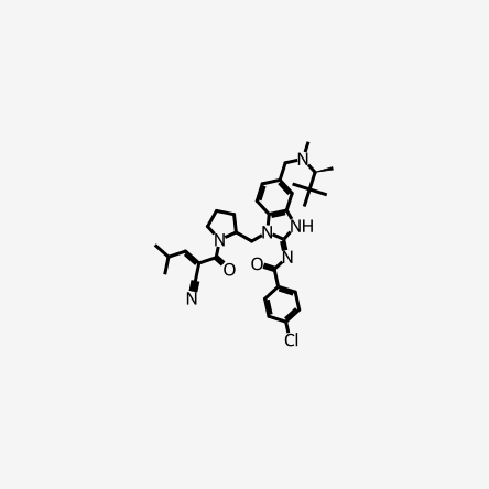 CC(C)/C=C(\C#N)C(=O)N1CCCC1Cn1/c(=N\C(=O)c2ccc(Cl)cc2)[nH]c2cc(CN(C)[C@@H](C)C(C)(C)C)ccc21